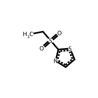 CCS(=O)(=O)c1nccs1